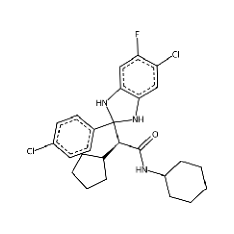 O=C(NC1CCCCC1)[C@@H](C1CCCC1)C1(c2ccc(Cl)cc2)Nc2cc(F)c(Cl)cc2N1